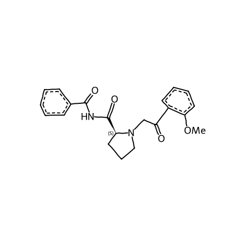 COc1ccccc1C(=O)CN1CCC[C@H]1C(=O)NC(=O)c1ccccc1